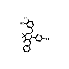 CC1(C)CN(Cc2ccc(O)c(O)c2)C(c2ccc(O)cc2)C(=Cc2ccccn2)C1=O